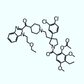 CCOCCn1c(C(=O)C2CCN(CCC3(c4ccc(Cl)c(Cl)c4)CCN(C(=O)c4cc(OC)c(CC)c(OC)c4OC(C)=O)C3)CC2)nc2ccccc21